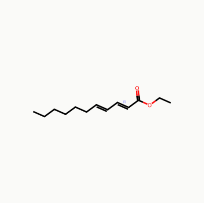 CCCCCCC=C/C=C/C(=O)OCC